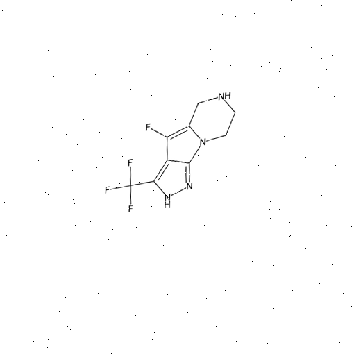 Fc1c2n(c3n[nH]c(C(F)(F)F)c13)CCNC2